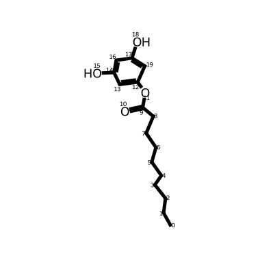 CCCCCCCCCC(=O)Oc1cc(O)cc(O)c1